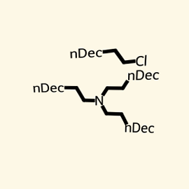 CCCCCCCCCCCCCl.CCCCCCCCCCCCN(CCCCCCCCCCCC)CCCCCCCCCCCC